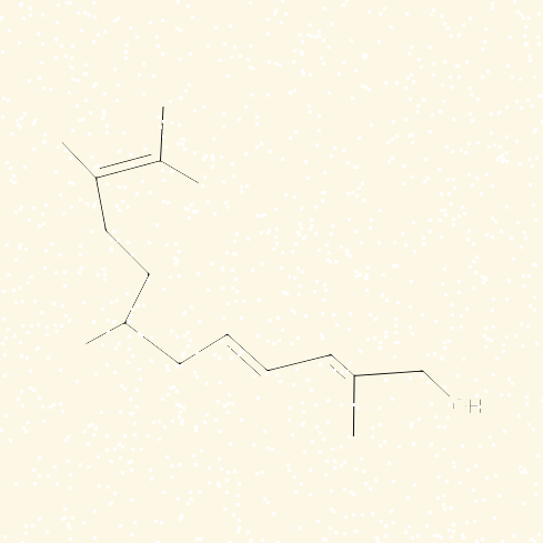 CC(C)=C(C)CCC(C)C/C=C/C=C(\C)CO